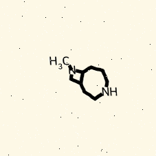 CN1CC2CCNCCCC21